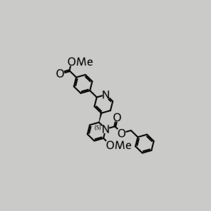 COC(=O)c1ccc(C2C=C([C@@H]3C=CC=C(OC)N3C(=O)OCc3ccccc3)CC=N2)cc1